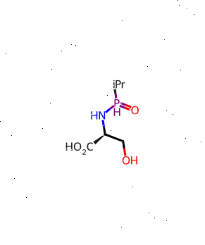 CC(C)[PH](=O)N[C@@H](CO)C(=O)O